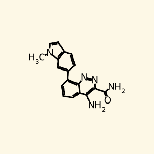 Cn1ccc2ccc(-c3cccc4c(N)c(C(N)=O)nnc34)cc21